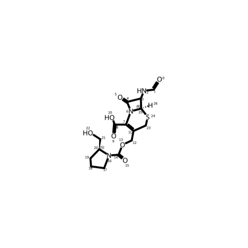 O=CNC1C(=O)N2C(C(=O)O)=C(COC(=O)N3CCC[C@H]3CO)CS[C@H]12